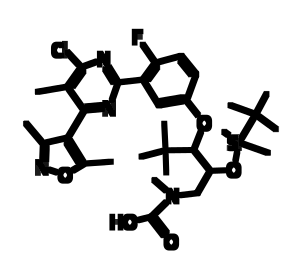 Cc1noc(C)c1-c1nc(-c2cc(OC(C(CN(C)C(=O)O)O[Si](C)(C)C(C)(C)C)C(C)(C)C)ccc2F)nc(Cl)c1C